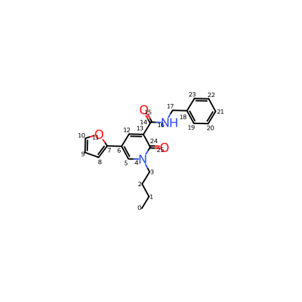 CCCCn1cc(-c2ccco2)cc(C(=O)NCc2ccccc2)c1=O